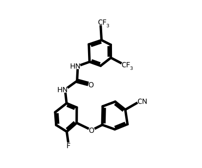 N#Cc1ccc(Oc2cc(NC(=O)Nc3cc(C(F)(F)F)cc(C(F)(F)F)c3)ccc2F)cc1